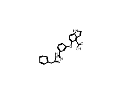 O=C(O)c1c(Oc2cccc(-c3nnc(Cc4ccccc4)[nH]3)c2)ccc2[nH]ccc12